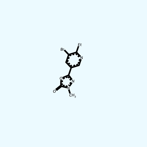 CCc1ncc(-c2nn(C)c(=O)o2)cc1Br